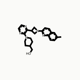 Cc1ccc2nc(N3CC(c4nccnc4N4CCC(CO)CC4)C3)ccc2c1